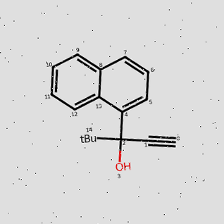 C#CC(O)(c1cccc2ccccc12)C(C)(C)C